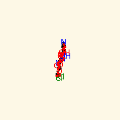 CCN1Cc2cc3c(cc2CC1C(=O)NC(Cc1ccc(-c2ccc(C#N)cc2)cc1)C(=O)O)N(C)C(=O)C(c1ccc(OCc2ccc(Cl)c(Cl)c2)cc1)O3